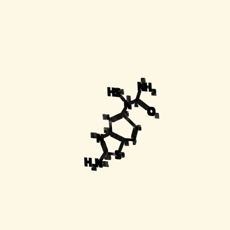 NC(=O)N(S)c1ccc2sc(N)nc2c1